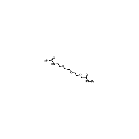 CCCC(=O)NCCOCCOCCOCC(=O)NC(C)C